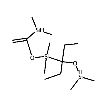 C=C(O[Si](C)(C)C(CC)(CC)O[SiH](C)C)[SiH](C)C